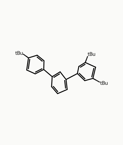 CC(C)(C)c1ccc(-c2cccc(-c3cc(C(C)(C)C)cc(C(C)(C)C)c3)c2)cc1